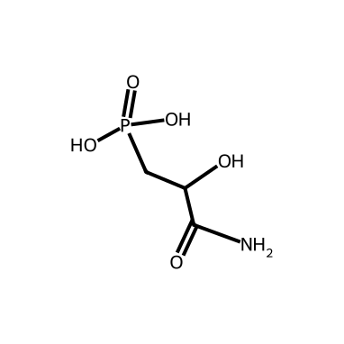 NC(=O)C(O)CP(=O)(O)O